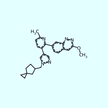 COc1cc2ccc(-c3nc(C)ccc3-c3cnn(CC4CCC5(CC5)C4)c3)cc2nn1